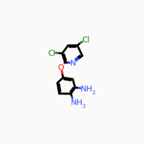 Nc1ccc(Oc2ncc(Cl)cc2Cl)cc1N